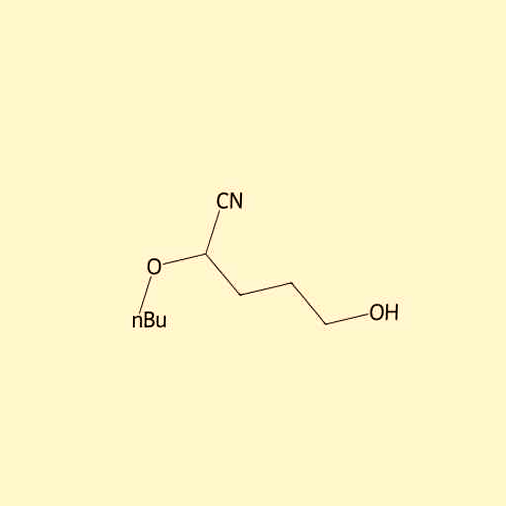 CCCCOC(C#N)CCCO